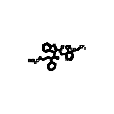 CCOC(=O)OCCN(C(=O)n1c([S@+]([O-])Cc2nccc(OCC(F)(F)F)c2C)nc2ccccc21)C1CCCCC1